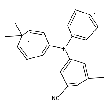 Cc1cc(C#N)cc(N(C2=CC=CC(C)(C)C=C2)c2ccccc2)c1